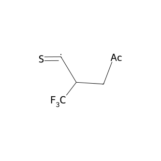 CC(=O)CC([C]=S)C(F)(F)F